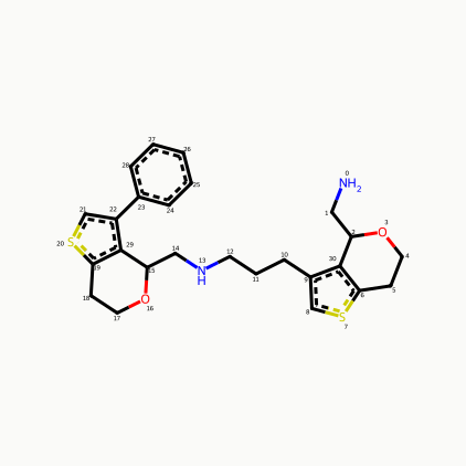 NCC1OCCc2scc(CCCNCC3OCCc4scc(-c5ccccc5)c43)c21